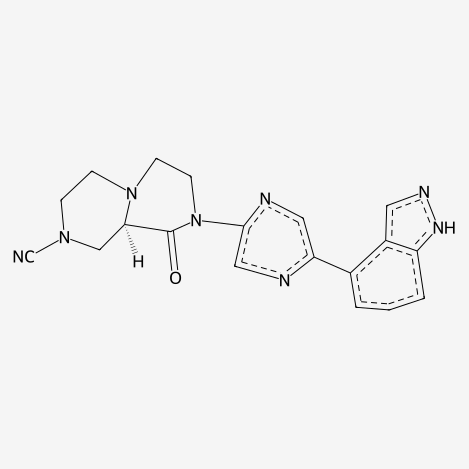 N#CN1CCN2CCN(c3cnc(-c4cccc5[nH]ncc45)cn3)C(=O)[C@H]2C1